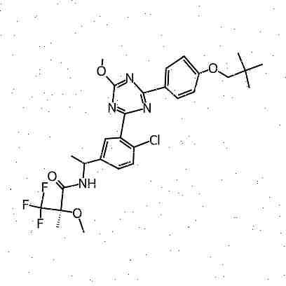 COc1nc(-c2ccc(OCC(C)(C)C)cc2)nc(-c2cc(C(C)NC(=O)[C@@](C)(OC)C(F)(F)F)ccc2Cl)n1